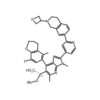 Cc1nc2c(cc(-c3ccnc(-c4ccc5c(c4)CN(C4COC4)CC5)c3)n2C)c(-c2cc(F)c3c(c2C)CCCO3)c1[C@H](OC(C)(C)C)C(=O)O